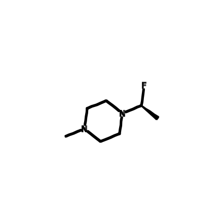 C[C@H](F)N1CCN(C)CC1